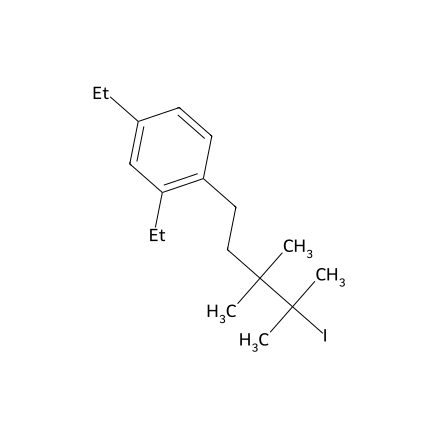 CCc1ccc(CCC(C)(C)C(C)(C)I)c(CC)c1